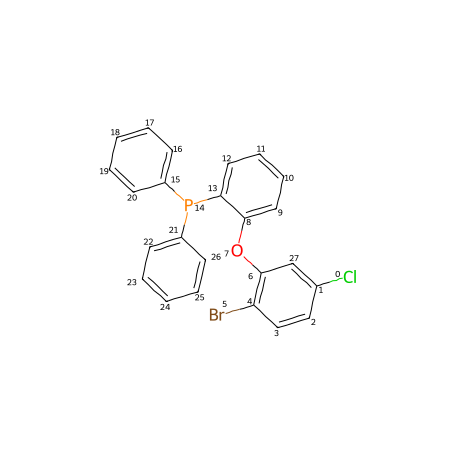 Clc1ccc(Br)c(Oc2ccccc2P(c2ccccc2)c2ccccc2)c1